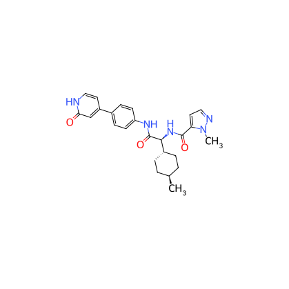 Cn1nccc1C(=O)N[C@H](C(=O)Nc1ccc(-c2cc[nH]c(=O)c2)cc1)[C@H]1CC[C@H](C)CC1